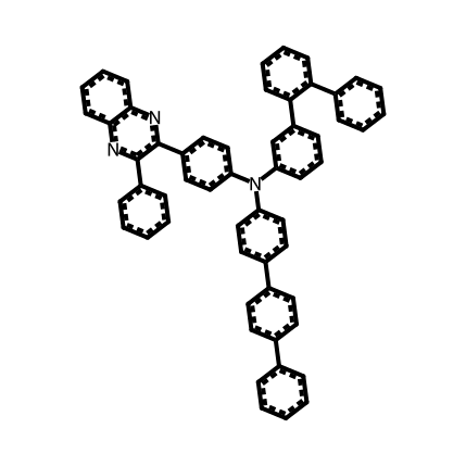 c1ccc(-c2ccc(-c3ccc(N(c4ccc(-c5nc6ccccc6nc5-c5ccccc5)cc4)c4cccc(-c5ccccc5-c5ccccc5)c4)cc3)cc2)cc1